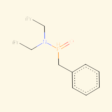 CC(C)CN(CC(C)C)[PH](=O)Cc1ccccc1